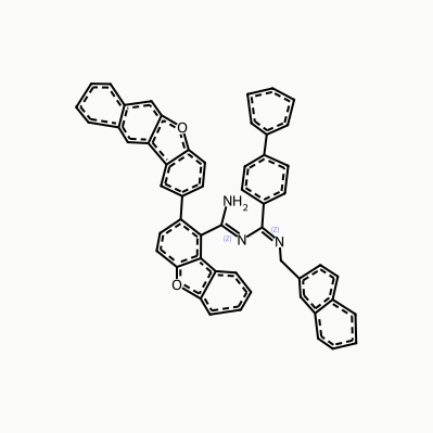 N/C(=N\C(=N/Cc1ccc2ccccc2c1)c1ccc(-c2ccccc2)cc1)c1c(-c2ccc3oc4cc5ccccc5cc4c3c2)ccc2oc3ccccc3c12